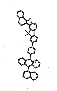 CC1(C)c2cc(-c3ccc(-c4c5ccccc5c(-c5cccc6ccccc56)c5ccccc45)cc3)ccc2-c2ccc3sc4c5ccccc5ccc4c3c21